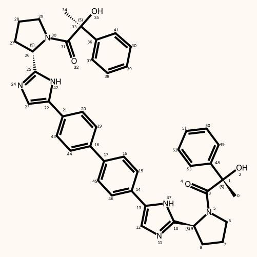 C[C@@](O)(C(=O)N1CCC[C@H]1c1ncc(-c2ccc(-c3ccc(-c4cnc([C@@H]5CCCN5C(=O)[C@@](C)(O)c5ccccc5)[nH]4)cc3)cc2)[nH]1)c1ccccc1